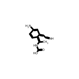 C/C(NC(=O)O)=c1/ccc(N)c/c1=C/C=N